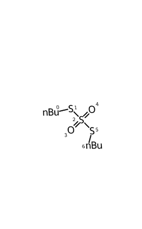 CCCCSS(=O)(=O)SCCCC